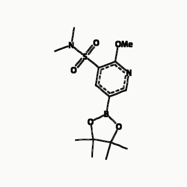 COc1ncc(B2OC(C)(C)C(C)(C)O2)cc1S(=O)(=O)N(C)C